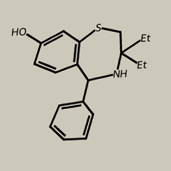 CCC1(CC)CSc2cc(O)ccc2C(c2ccccc2)N1